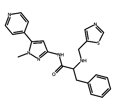 Cn1nc(NC(=O)C(Cc2ccccc2)NCc2cncs2)cc1-c1ccncc1